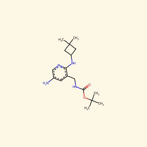 CC1(C)CC(Nc2ncc(N)cc2CNC(=O)OC(C)(C)C)C1